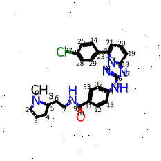 CN1CCCC1CCNC(=O)c1ccc(Nc2nc3cccc(-c4ccc(Cl)cc4)n3n2)cc1